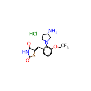 Cl.N[C@H]1CCN(c2c(/C=C3\SC(=O)NC3=O)cccc2OCC(F)(F)F)C1